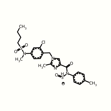 CCCCS(=O)(=O)N(C)c1ccc(Cn2cc(C(=O)N(c3ccc(C)cc3)[SH](=O)=O)nc2C)c(Cl)c1